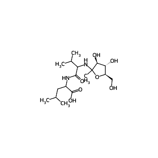 CC(C)CC(NC(=O)C(NC1(C)O[C@H](CO)[C@@H](O)[C@@H]1O)C(C)C)C(=O)O